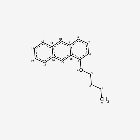 CCCCOc1cccc2cc3ccc[c]c3cc12